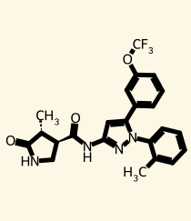 Cc1ccccc1-n1nc(NC(=O)[C@H]2CNC(=O)[C@@H]2C)cc1-c1cccc(OC(F)(F)F)c1